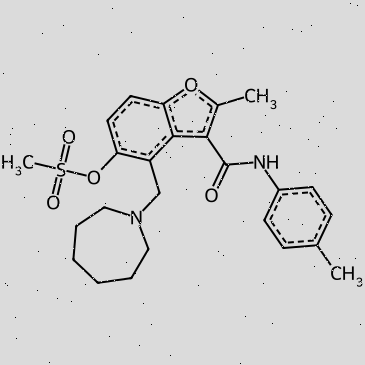 Cc1ccc(NC(=O)c2c(C)oc3ccc(OS(C)(=O)=O)c(CN4CCCCCC4)c23)cc1